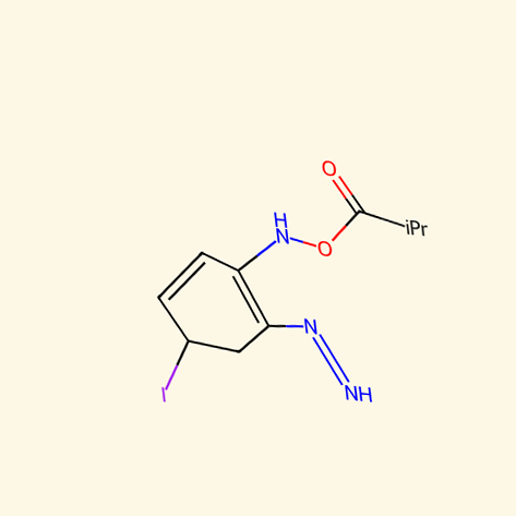 CC(C)C(=O)ONC1=C(N=N)CC(I)C=C1